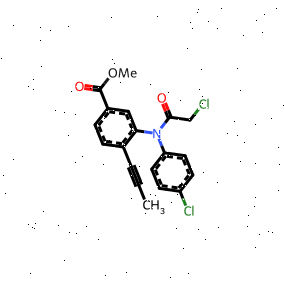 CC#Cc1ccc(C(=O)OC)cc1N(C(=O)CCl)c1ccc(Cl)cc1